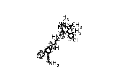 Cc1sc2c(c1C)C(c1ccc(Cl)cc1)=N[C@@H](CC(=O)NCCCC(=O)Nc1ccc(N3CCOCC3)c(C#CCN)c1)c1nnc(C)n1-2